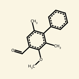 COc1c(C=O)cc(C)c(-c2ccccc2)c1C